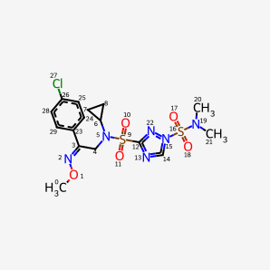 CO/N=C(\CN(C1CC1)S(=O)(=O)c1ncn(S(=O)(=O)N(C)C)n1)c1ccc(Cl)cc1